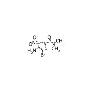 CN(C)C(=O)c1cc(Br)c(N)c([N+](=O)[O-])c1